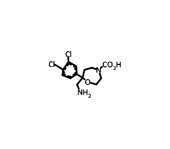 NCC1(c2ccc(Cl)c(Cl)c2)CCN(C(=O)O)CCO1